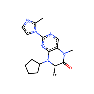 CC[C@@H]1C(=O)N(C)c2cnc(-n3ccnc3C)nc2N1C1CCCC1